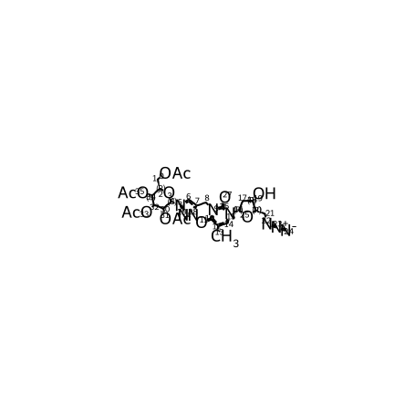 CC(=O)OC[C@H]1O[C@H](n2cc(Cn3c(=O)c(C)cn([C@H]4C[C@@H](O)[C@@H](CN=[N+]=[N-])O4)c3=O)nn2)C(OC(C)=O)C(OC(C)=O)[C@H]1OC(C)=O